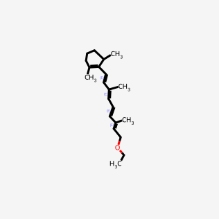 CCOC/C=C(C)/C=C/C=C(C)/C=C/C1=C(C)CCCC1C